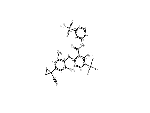 Cc1cc(C2(C#N)CC2)nc(C)c1Oc1nnc(C(F)(F)F)c(C)c1C(=O)Nc1cccc(S(C)(=O)=O)c1